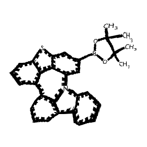 CC1(C)OB(c2cc3sc4cccc5c6cccc7c8ccccc8n(c(c2)c3c45)c67)OC1(C)C